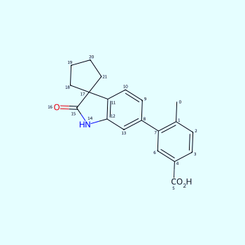 Cc1ccc(C(=O)O)cc1-c1ccc2c(c1)NC(=O)C21CCCC1